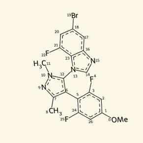 COc1cc(F)c(-c2c(C)nn(C)c2-n2cnc3cc(Br)cc(F)c32)c(F)c1